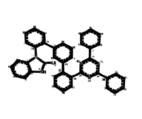 CCC1Nc2ccccc2N1c1ccccc1-c1cccc(-c2ccccc2-c2nc(-c3ccccc3)nc(-c3ccccc3)n2)c1